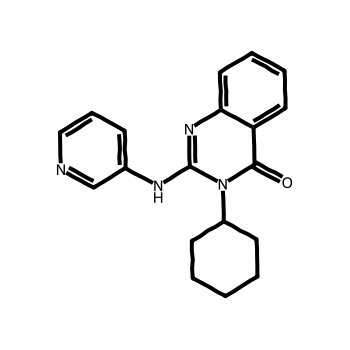 O=c1c2ccccc2nc(Nc2cccnc2)n1C1CCCCC1